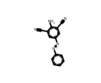 N#Cc1cc(/N=N/c2ccccc2)cc(C#N)c1N